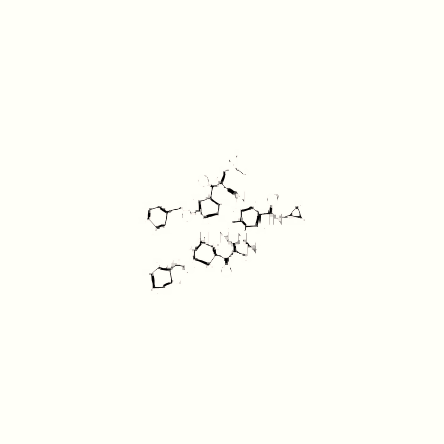 CN(C)C=C(C#N)C(=O)c1cccc(OCc2ccccc2)c1.Cc1ccc(C(=O)NC2CC2)cc1-n1ncc(C(=O)c2cccc(OCc3ccccc3)c2)c1N